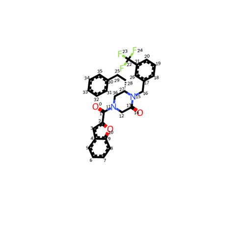 O=C(c1cc2ccccc2o1)N1CC(=O)N(Cc2cccc(C(F)(F)F)c2)[C@@H](CCc2ccccc2)C1